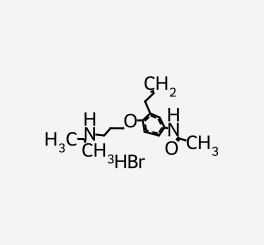 Br.C=CCc1cc(NC(C)=O)ccc1OCCCNC(C)C